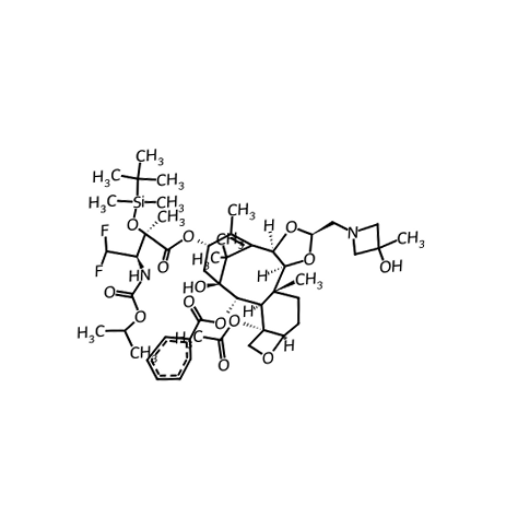 CC(=O)O[C@@]12CO[C@@H]1CC[C@@]1(C)[C@@H]3O[C@H](CN4CC(C)(O)C4)O[C@@H]3C3=C(C)[C@@H](OC(=O)[C@](C)(O[Si](C)(C)C(C)(C)C)[C@@H](NC(=O)OC(C)C)C(F)F)C[C@@](O)([C@@H](OC(=O)c4ccccc4)[C@@H]12)C3(C)C